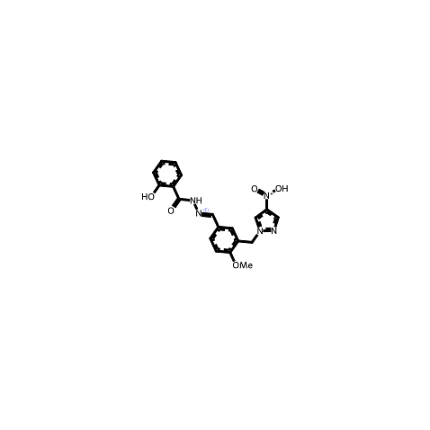 COc1ccc(/C=N/NC(=O)c2ccccc2O)cc1Cn1cc([N+](=O)O)cn1